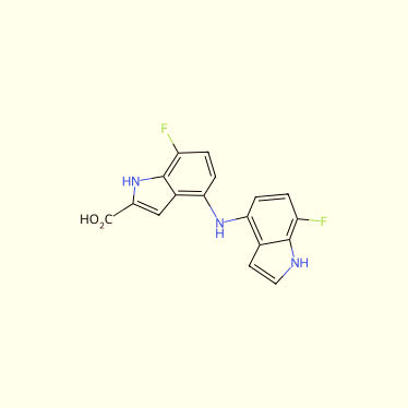 O=C(O)c1cc2c(Nc3ccc(F)c4[nH]ccc34)ccc(F)c2[nH]1